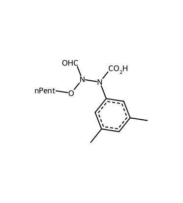 CCCCCON(C=O)N(C(=O)O)c1cc(C)cc(C)c1